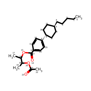 CCCCC[C@H]1CC[C@H](c2ccc(C(=O)OC(C)C(C)OC(C)=O)cc2)CC1